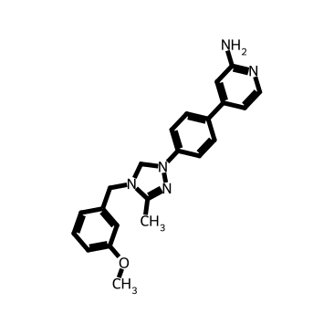 COc1cccc(CN2CN(c3ccc(-c4ccnc(N)c4)cc3)N=C2C)c1